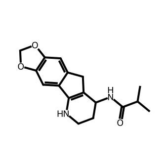 CC(C)C(=O)NC1CCNC2=C1Cc1cc3c(cc12)OCO3